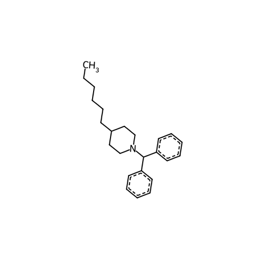 CCCCCCC1CCN(C(c2ccccc2)c2ccccc2)CC1